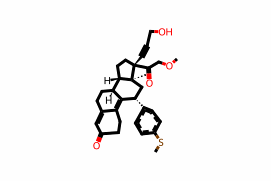 COCC(=O)[C@@]1(C#CCO)CC[C@H]2[C@@H]3CCC4=CC(=O)CCC4=C3[C@@H](c3ccc(SC)cc3)C[C@@]21C